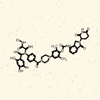 CCNC(=O)C(=N)N(C(=N)c1cc(C(C)C)c(O)cc1O)c1ccc(C(=O)N2CCN(c3cc(C)c(OC(=O)Nc4cccc5c4CN(C4CCC(=O)NC4=O)C5=O)c(C)c3)CC2)cc1